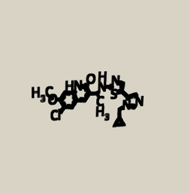 COc1cc2[nH]c(=O)c([C@H](C)Nc3ncc(-c4cncn4CC4CC4)s3)cc2cc1Cl